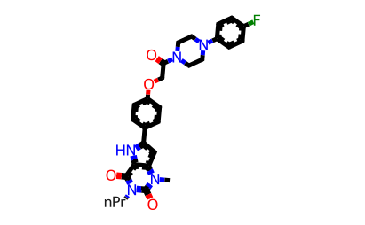 CCCn1c(=O)c2[nH]c(-c3ccc(OCC(=O)N4CCN(c5ccc(F)cc5)CC4)cc3)cc2n(C)c1=O